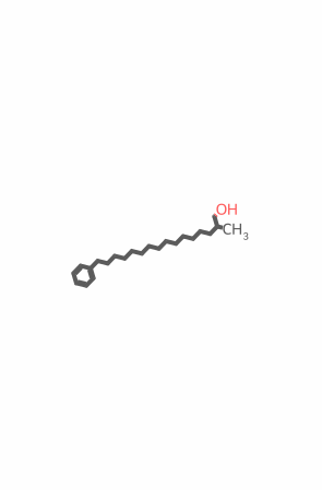 CC(CO)CCCCCCCCCCCCCCc1ccccc1